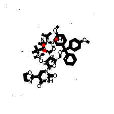 COc1ccc(C(OC[C@@H]2O[C@@H](n3cc(-c4ncco4)c(=O)[nH]c3=O)[C@H](O[Si](C)(C)C(C)(C)C)[C@@H]2C(CC#N)OP(O)N(C(C)C)C(C)C)(c2ccccc2)c2ccc(OC)cc2)cc1